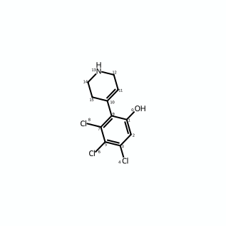 Oc1cc(Cl)c(Cl)c(Cl)c1C1=CCNCC1